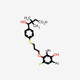 CCCc1c(O)c(C(C)=O)cc(F)c1OCCCSc1ccc(C(O)C(C)(C)CC(=O)O)cc1